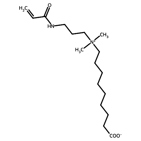 C=CC(=O)NCCC[N+](C)(C)CCCCCCCCC(=O)[O-]